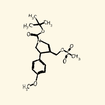 COc1ccc(C2CN(C(=O)OC(C)(C)C)CC2COS(C)(=O)=O)cc1